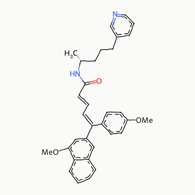 COc1ccc(/C(=C\C=C\C(=O)N[C@H](C)CCCc2cccnc2)c2cc(OC)c3ccccc3c2)cc1